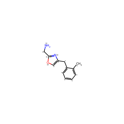 Cc1ccccc1Cc1coc(CN)n1